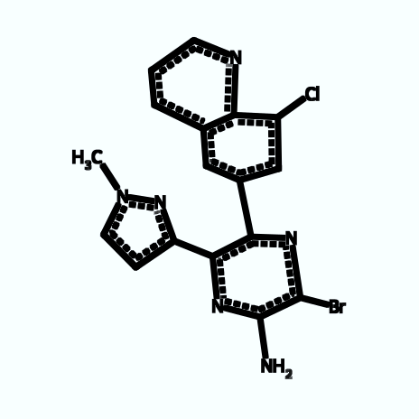 Cn1ccc(-c2nc(N)c(Br)nc2-c2cc(Cl)c3ncccc3c2)n1